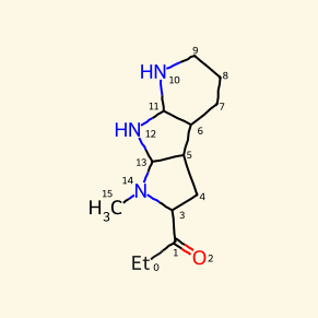 CCC(=O)C1CC2C3CCCNC3NC2N1C